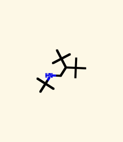 CC(C)(C)NCC(C(C)(C)C)C(C)(C)C